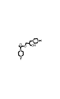 OCC(COC1OCC1N1CCN(I)CC1)CN1CCN(I)CC1